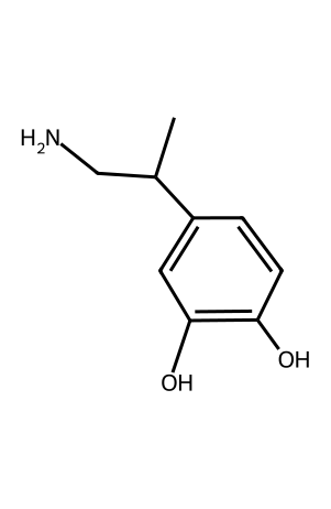 CC(CN)c1ccc(O)c(O)c1